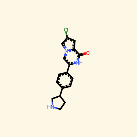 O=c1[nH]c(-c2ccc(C3CCNC3)cc2)cn2cc(Cl)cc12